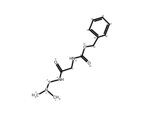 CN(C)SNC(=O)CNC(=O)OCc1ccccc1